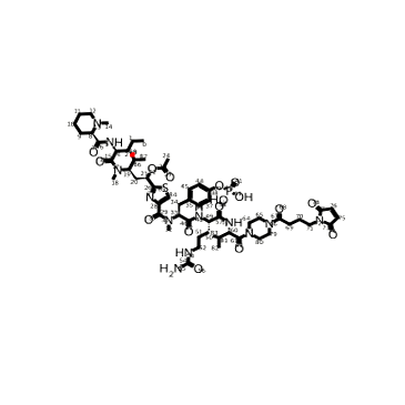 CC[C@H](C)[C@H](NC(=O)[C@H]1CCCCN1C)C(=O)N(C)[C@H](C[C@@H](OC(C)=O)c1nc(C(=O)N(C)[C@@H](Cc2ccc(OP(=O)(O)O)cc2)C(=O)N[C@@H](CCCNC(N)=O)C(=O)N[C@H](C(=O)N2CCN(C(=O)CCCN3C(=O)C=CC3=O)CC2)C(C)C)cs1)C(C)C